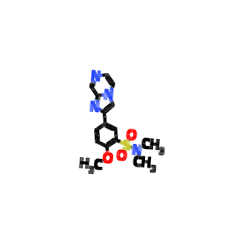 COc1ccc(-c2cn3ccncc3n2)cc1S(=O)(=O)N(C)C